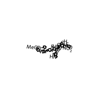 COc1ccc(CN2CCN(C3CC4(CCN(c5cc(Oc6cnc7[nH]ccc7c6)c(C(=O)NS(=O)(=O)c6cc([N+](=O)[O-])c(NCC7(F)CCOCC7)c7c6CCO7)cc5F)CC4)C3)[C@H](c3ccccc3C(C)C)C2)cc1